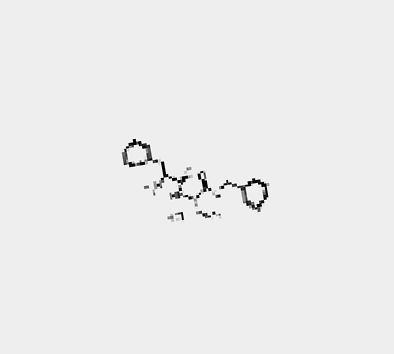 CC(C)C[C@H](NC(=O)[C@@H](N)Cc1ccccc1)C(=O)OCc1ccccc1.Cl